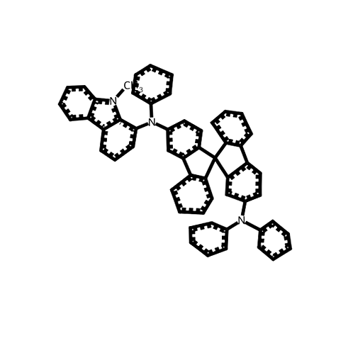 Cn1c2ccccc2c2cccc(N(c3ccccc3)c3ccc4c(c3)-c3ccccc3C43c4ccccc4-c4ccc(N(c5ccccc5)c5ccccc5)cc43)c21